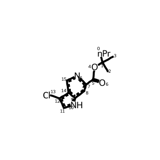 CCCC(C)(C)OC(=O)c1cc2[nH]cc(Cl)c2cn1